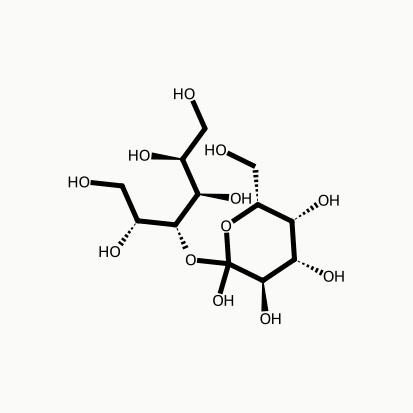 OC[C@@H](O)[C@@H](OC1(O)O[C@H](CO)[C@H](O)[C@H](O)[C@H]1O)[C@H](O)[C@@H](O)CO